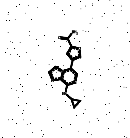 NC(=O)c1cc(-c2cnc(NC3CC3)c3nccn23)co1